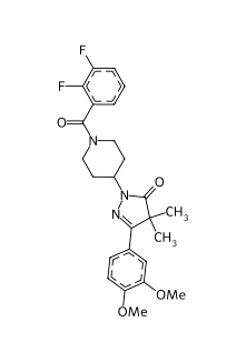 COc1ccc(C2=NN(C3CCN(C(=O)c4cccc(F)c4F)CC3)C(=O)C2(C)C)cc1OC